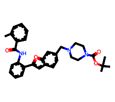 Cc1ccccc1C(=O)Nc1ccccc1-c1cc2ccc(CN3CCN(C(=O)OC(C)(C)C)CC3)cc2o1